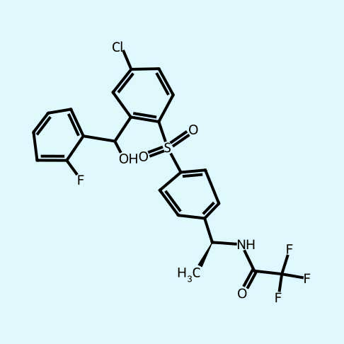 C[C@H](NC(=O)C(F)(F)F)c1ccc(S(=O)(=O)c2ccc(Cl)cc2C(O)c2ccccc2F)cc1